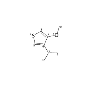 COc1cscc1C(C)C